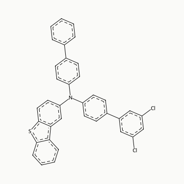 Clc1cc(Cl)cc(-c2ccc(N(c3ccc(-c4ccccc4)cc3)c3ccc4sc5ccccc5c4c3)cc2)c1